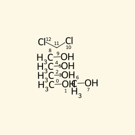 CO.CO.CO.CO.CO.ClCCl